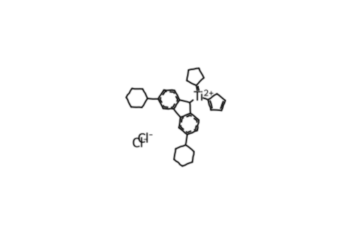 C1=CC[C]([Ti+2](=[C]2CCCC2)[CH]2c3ccc(C4CCCCC4)cc3-c3cc(C4CCCCC4)ccc32)=C1.[Cl-].[Cl-]